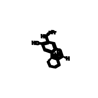 CCCNc1cc2c(cc1O)[C@]13CCCC[C@@H]1[C@H](C2)NCC3